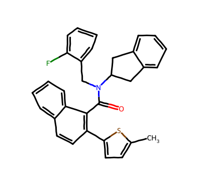 Cc1ccc(-c2ccc3ccccc3c2C(=O)N(Cc2ccccc2F)C2Cc3ccccc3C2)s1